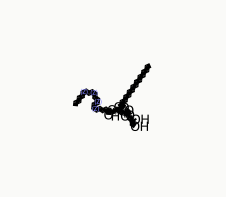 CCCCC/C=C\C/C=C\C/C=C\C/C=C\CCCC(=O)OC[C@H](COP(=O)(O)OC[C@@H](O)CO)OC(=O)CCCCCCCCCCCCCCCC